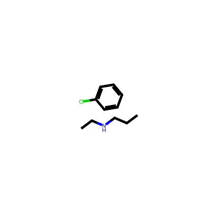 CCCNCC.Clc1ccccc1